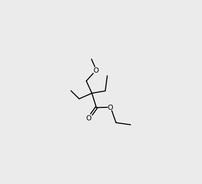 CCOC(=O)C(CC)(CC)COC